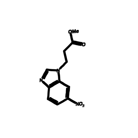 COC(=O)CCn1cnc2ccc([N+](=O)[O-])cc21